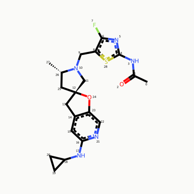 CC(=O)Nc1nc(F)c(CN2C[C@@]3(Cc4cc(NC5CC5)ncc4O3)C[C@@H]2C)s1